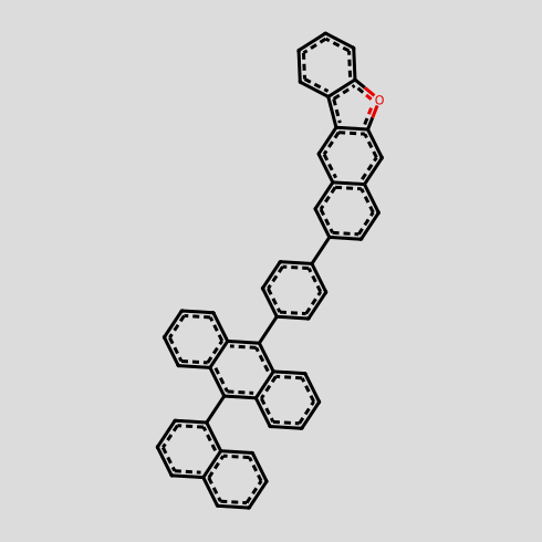 c1ccc2c(-c3c4ccccc4c(-c4ccc(-c5ccc6cc7oc8ccccc8c7cc6c5)cc4)c4ccccc34)cccc2c1